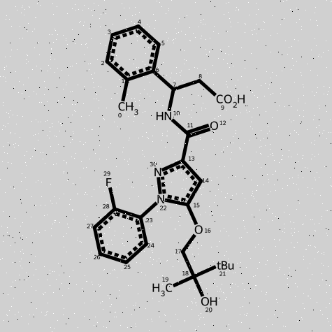 Cc1ccccc1C(CC(=O)O)NC(=O)c1cc(OCC(C)(O)C(C)(C)C)n(-c2ccccc2F)n1